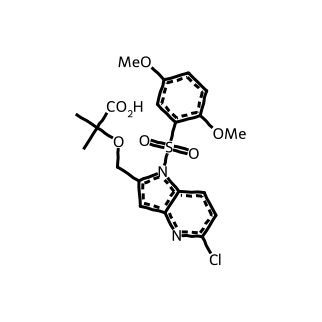 COc1ccc(OC)c(S(=O)(=O)n2c(COC(C)(C)C(=O)O)cc3nc(Cl)ccc32)c1